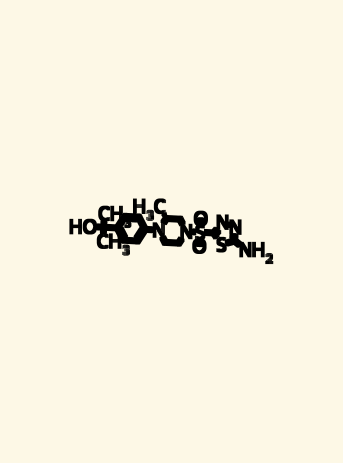 C[C@H]1CN(S(=O)(=O)c2nnc(N)s2)CCN1c1ccc(C(C)(C)O)cc1